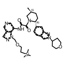 C[C@H]1CC[C@H](c2ccc3cn(C4CCOCC4)nc3c2)N(C(=O)C(=O)Nc2cncc3cnn(COCC[Si](C)(C)C)c23)C1